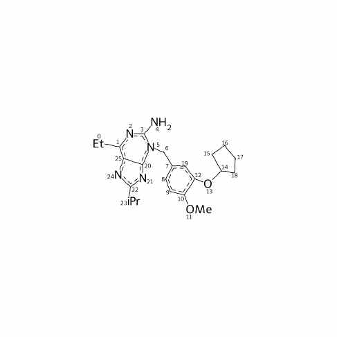 CCc1nc(N)n(Cc2ccc(OC)c(OC3CCCC3)c2)c2nc(C(C)C)nc1-2